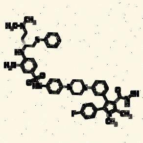 Cc1c(C(=O)NS)c(-c2cccc(N3CCN(c4ccc(NS(=O)(=O)c5ccc(N[C@H](CCN(C)C)CSc6ccccc6)c(N)c5)cc4)CC3)c2)c(-c2ccc(F)cc2)n1C